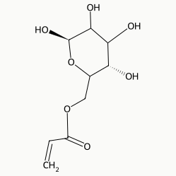 C=CC(=O)OCC1O[C@@H](O)C(O)C(O)[C@@H]1O